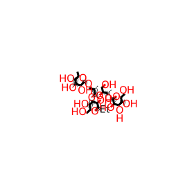 CC[C@@H]1OC(CO)[C@H](O)[C@H](O[C@H](OC(CO)[C@H](C)O[C@@H]2OC(CO)[C@H](O)C(O)C2O)[C@@H](C)CO[C@@H]2OC(C)[C@@H](O)[C@@H](O)C2O)C1O